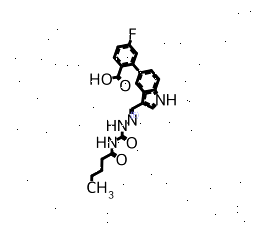 CCCCC(=O)NC(=O)N/N=C/c1c[nH]c2ccc(-c3cc(F)ccc3C(=O)O)cc12